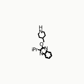 CC(C)c1nc2ccccc2nc1OCC1CCNCC1